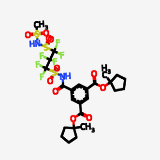 CC1(OC(=O)c2cc(C(=O)NS(=O)(=O)C(F)(F)C(F)(F)C(F)(F)S(=O)(=O)NS(C)(=O)=O)cc(C(=O)OC3(C)CCCC3)c2)CCCC1